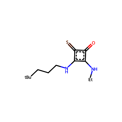 CCNc1c(NCCCC(C)(C)C)c(=S)c1=O